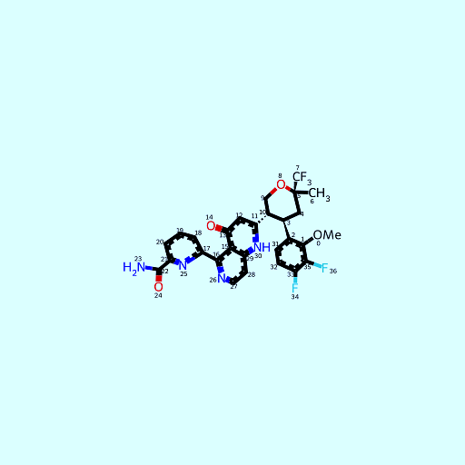 COc1c([C@@H]2C[C@](C)(C(F)(F)F)OC[C@H]2c2cc(=O)c3c(-c4cccc(C(N)=O)n4)nccc3[nH]2)ccc(F)c1F